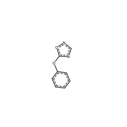 [c]1noc(Oc2ccccc2)n1